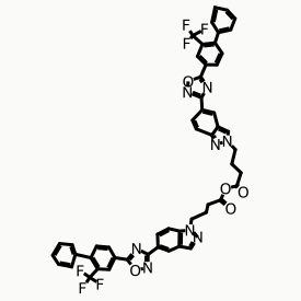 O=C(CCCn1cc2cc(-c3noc(-c4ccc(-c5ccccc5)c(C(F)(F)F)c4)n3)ccc2n1)OC(=O)CCCn1ncc2cc(-c3noc(-c4ccc(-c5ccccc5)c(C(F)(F)F)c4)n3)ccc21